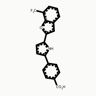 O=C(O)c1ccc(-c2ccc(-c3cc4cccc(C(F)(F)F)c4o3)[nH]2)cc1